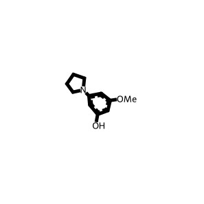 COc1cc(O)cc(N2CCCC2)c1